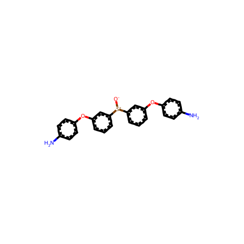 Nc1ccc(Oc2cccc([S+]([O-])c3cccc(Oc4ccc(N)cc4)c3)c2)cc1